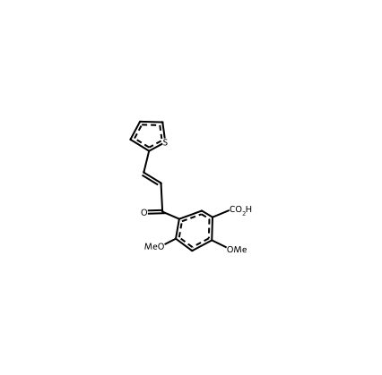 COc1cc(OC)c(C(=O)C=Cc2cccs2)cc1C(=O)O